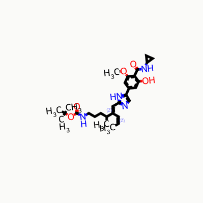 C/C=C\C(=C/c1ncc(-c2cc(O)c(C(=O)NC3CC3)c(OC)c2)[nH]1)C(C)CCCNC(=O)OC(C)(C)C